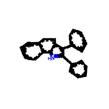 c1ccc(-c2[nH]c3c(ccc4ccccc43)c2-c2ccccc2)cc1